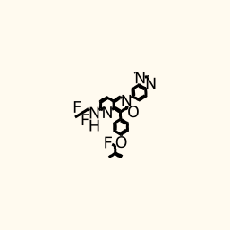 C=C(C)C(F)Oc1ccc(-c2c(=O)n(-c3ccc4ncn(C)c4c3)cc3ccc(NCC(C)(F)F)nc23)cc1